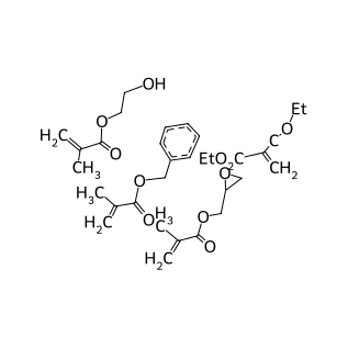 C=C(C)C(=O)OCC1CO1.C=C(C)C(=O)OCCO.C=C(C)C(=O)OCc1ccccc1.C=C(COCC)C(=O)OCC